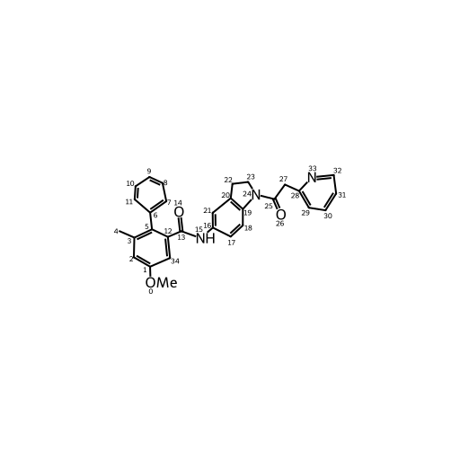 COc1cc(C)c(-c2ccccc2)c(C(=O)Nc2ccc3c(c2)CCN3C(=O)Cc2ccccn2)c1